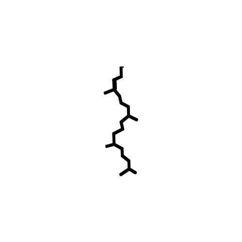 [CH2]CC=C(C)CCCC(C)CCCC(C)CCCC(C)C